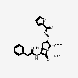 O=C(Cc1ccccc1)N[C@@H]1C(=O)N2[C@@H]1S[C@H](CSC(=O)c1ccco1)[C@@H]2C(=O)[O-].[Na+]